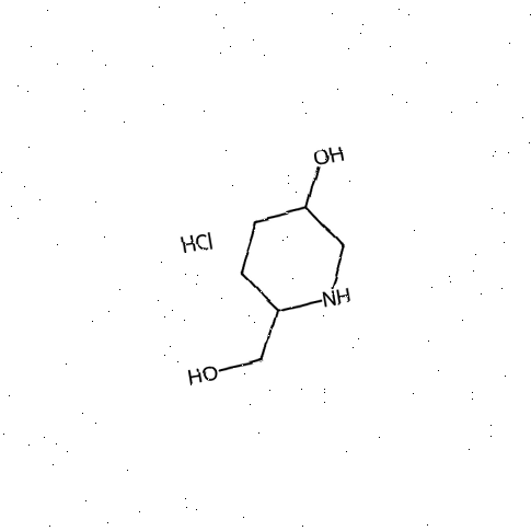 Cl.OCC1CCC(O)CN1